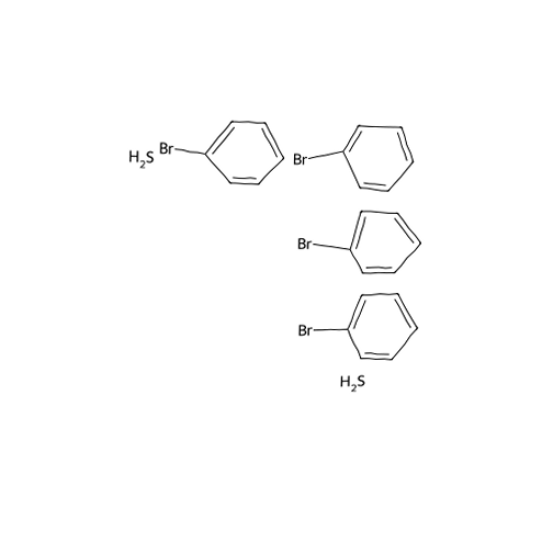 Brc1ccccc1.Brc1ccccc1.Brc1ccccc1.Brc1ccccc1.S.S